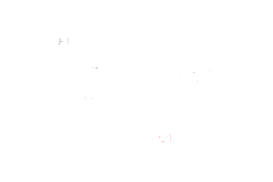 CCOC(=O)C(CC(=O)CC)C(C)O